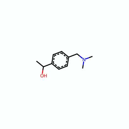 CC(O)c1ccc(CN(C)C)cc1